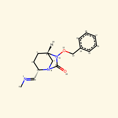 C/N=C/[C@@H]1CC[C@H]2CN1C(=O)N2OCc1ccccc1